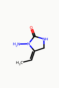 CC=C1CNC(=O)N1N